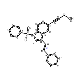 O=S(=O)(c1ccccc1)n1nc(/C=C/c2cccnc2)c2cc(C#CCO)ccc21